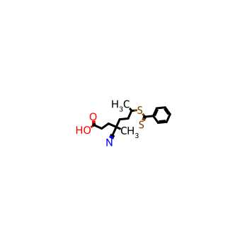 CC(CCC(C)(C#N)CCC(=O)O)SC(=S)c1ccccc1